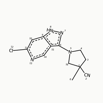 CC1(C#N)CCN(c2n[nH]c3cc(Cl)ncc23)C1